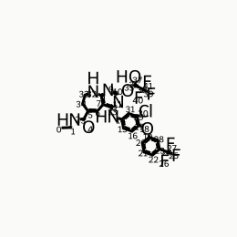 CCNC(=O)C1=Cc2c(ncnc2Nc2ccc(Oc3cccc(C(F)(F)F)c3)c(Cl)c2)NCC1.O=C(O)C(F)(F)F